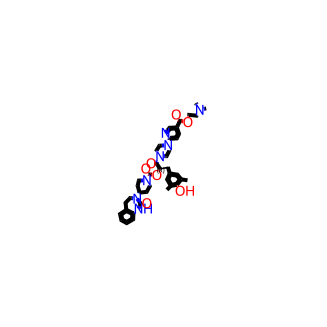 Cc1cc(C[C@@H](OC(=O)N2CCC(N3CCc4ccccc4NC3=O)CC2)C(=O)N2CCN(c3ccc(C(=O)OCCN(C)C)cn3)CC2)cc(C)c1O